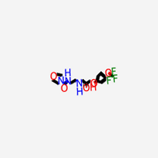 O=C(NCCNC[C@H](O)COc1ccc(OC(F)(F)F)cc1)N1CCOCC1